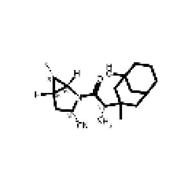 C[C@H]1[C@H]2C[C@@H](C#N)N(C(=O)[C@@H](N)C3(C)CC4CCCC(O)(C4)C3)[C@@H]12